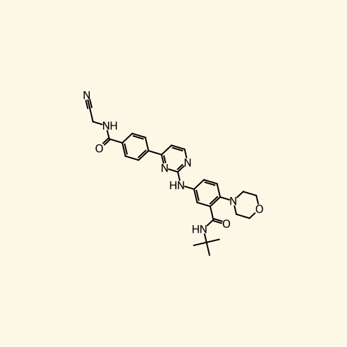 CC(C)(C)NC(=O)c1cc(Nc2nccc(-c3ccc(C(=O)NCC#N)cc3)n2)ccc1N1CCOCC1